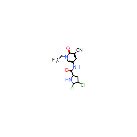 N#Cc1cc(NC(=O)C2CC(Cl)C(Cl)N2)cn(CC(F)(F)F)c1=O